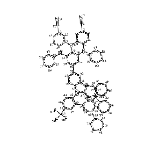 N#Cc1ccc2c(c1)B1c3cc(C#N)ccc3N(c3ccccc3)c3cc(-c4ccc5c(c4)c4ccc(-c6ccccc6)cc4n5-c4ccc(C(F)(F)F)cc4-c4nc(-c5ccccc5)nc(-c5ccccc5)n4)cc(c31)N2c1ccccc1